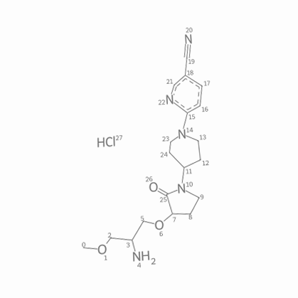 COCC(N)COC1CCN(C2CCN(c3ccc(C#N)cn3)CC2)C1=O.Cl